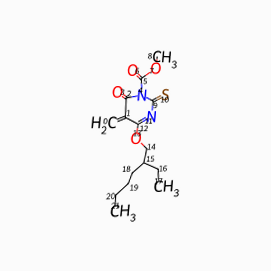 C=C1C(=O)N(C(=O)OC)C(=S)N=C1OCC(CC)CCCC